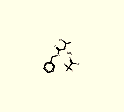 CC(O)[C@H](N)C(=O)NCc1ccccc1.O=C(O)C(F)(F)F